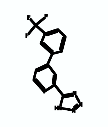 FC(F)(F)c1cccc(-c2cc[c]c(-c3nnn[nH]3)c2)c1